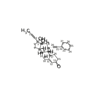 CC#C[C@]1(O)CC[C@H]2[C@@H]3CCC4=CC(=O)CC[C@@H]4[C@H]3[C@@H](C#Cc3ccccc3)C[C@@]21C